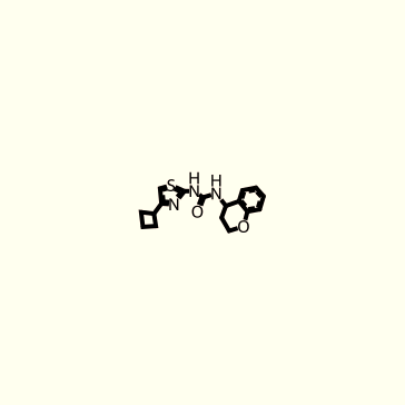 O=C(Nc1nc(C2CCC2)cs1)NC1CCOc2ccccc21